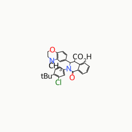 CN1CCOc2ccc(C3C(C(=O)O)c4ccccc4C(=O)N3c3ccc(C(C)(C)C)c(Cl)c3)cc21